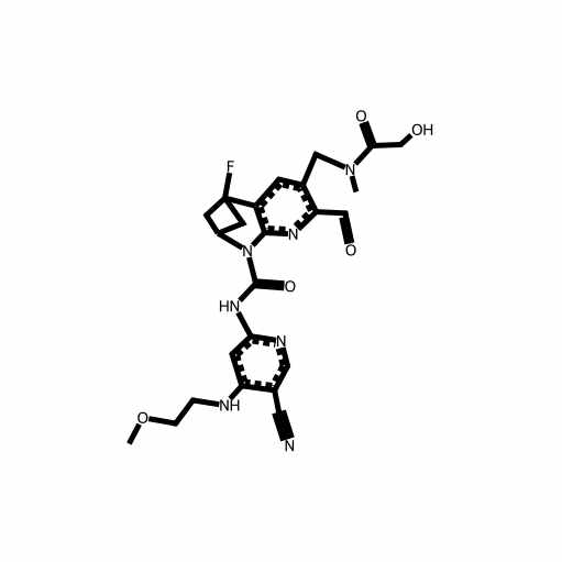 COCCNc1cc(NC(=O)N2c3nc(C=O)c(CN(C)C(=O)CO)cc3C3(F)CC2C3)ncc1C#N